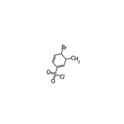 CC1C=C(S(=O)(=O)Cl)C=CC1Br